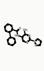 O=C(Nc1cnc(-n2cccn2)nc1O)c1ccccc1-c1ccccc1